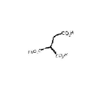 CCOC(=O)C(CC(=O)O)C(=O)O